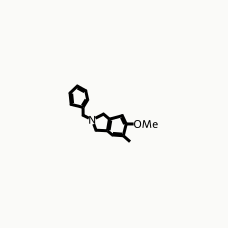 COc1cc2c(cc1C)CN(Cc1ccccc1)C2